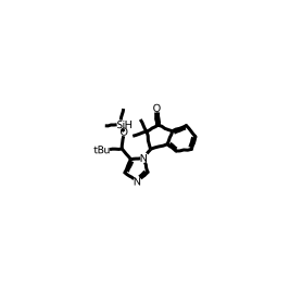 C[SiH](C)OC(c1cncn1C1c2ccccc2C(=O)C1(C)C)C(C)(C)C